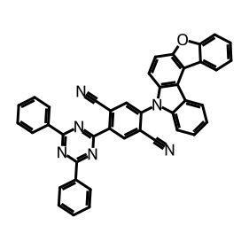 N#Cc1cc(-n2c3ccccc3c3c4c(ccc32)oc2ccccc24)c(C#N)cc1-c1nc(-c2ccccc2)nc(-c2ccccc2)n1